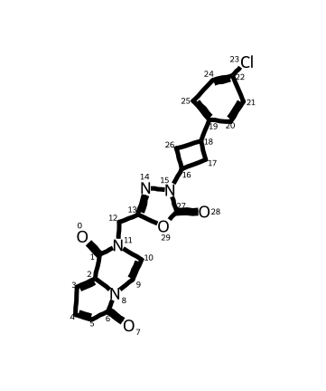 O=c1c2cccc(=O)n2ccn1Cc1nn(C2CC(c3ccc(Cl)cc3)C2)c(=O)o1